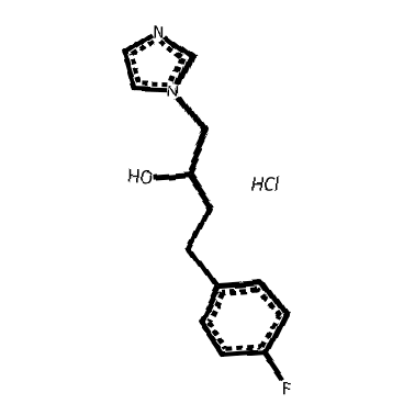 Cl.OC(CCc1ccc(F)cc1)Cn1ccnc1